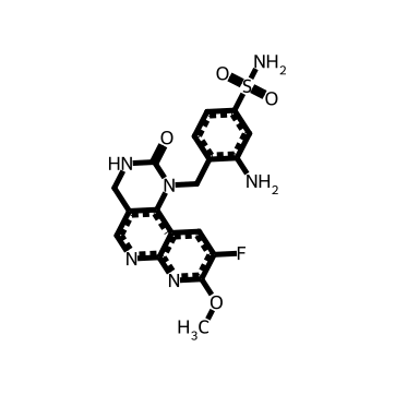 COc1nc2ncc3c(c2cc1F)N(Cc1ccc(S(N)(=O)=O)cc1N)C(=O)NC3